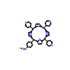 S=C=Nc1ccc(-c2c3nc(c(-c4ccncc4)c4ccc([nH]4)c(-c4ccncc4)c4nc(c(-c5ccncc5)c5ccc2[nH]5)C=C4)C=C3)cc1